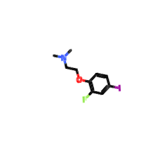 CN(C)CCOc1ccc(I)cc1F